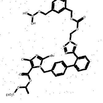 CCCCc1nc(Cl)c(C(=O)OC(C)OC(=O)OCC)n1Cc1ccc(-c2ccccc2-c2nnn(COC(=O)OCc3cccc(CON(O)O)c3)n2)cc1